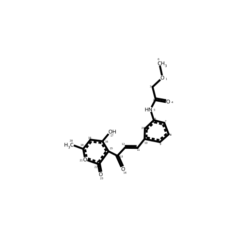 COCC(=O)Nc1cccc(C=CC(=O)c2c(O)cc(C)oc2=O)c1